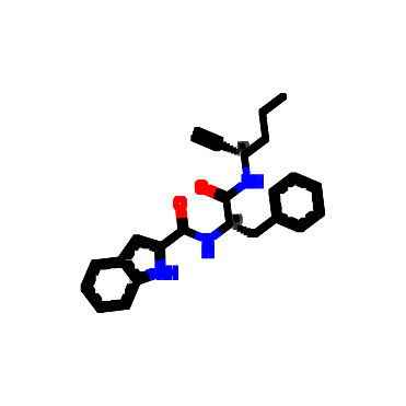 C#C[C@H](CCC)NC(=O)[C@H](Cc1ccccc1)NC(=O)c1cc2ccccc2[nH]1